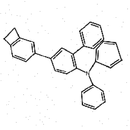 c1ccc(-c2cc(-c3ccc4c(c3)CC4)ccc2N(c2ccccc2)c2ccccc2)cc1